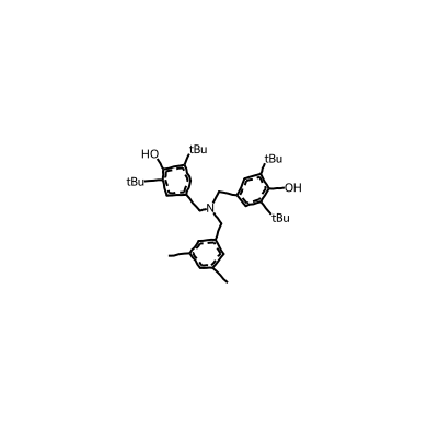 Cc1cc(C)cc(CN(Cc2cc(C(C)(C)C)c(O)c(C(C)(C)C)c2)Cc2cc(C(C)(C)C)c(O)c(C(C)(C)C)c2)c1